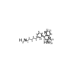 NCCCCCc1cccc(C(CC2=NCCN2)c2ccccn2)c1